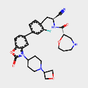 N#C[C@H](Cc1ccc(-c2ccc3oc(=O)n(C4CCN(C5COC5)CC4)c3c2)cc1F)NC(=O)[C@@H]1CNCCCO1